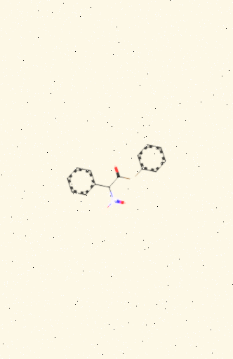 O=C(Sc1ccccc1)C(c1ccccc1)[N+](=O)[O-]